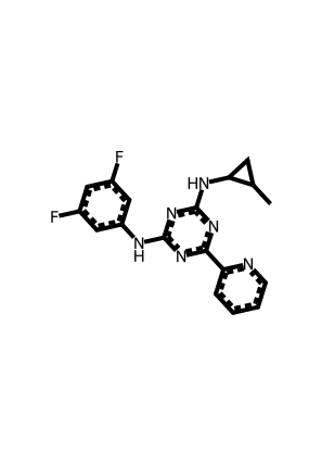 CC1CC1Nc1nc(Nc2cc(F)cc(F)c2)nc(-c2ccccn2)n1